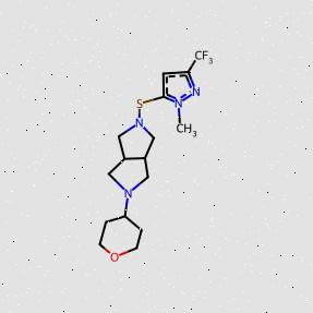 Cn1nc(C(F)(F)F)cc1SN1CC2CN(C3CCOCC3)CC2C1